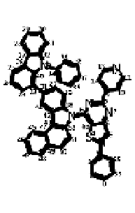 c1ccc(-c2cc3nc(-c4ccncc4)nc(-n4c5ccc(-c6cccc7c8ccccc8n(-c8ccccc8)c67)cc5c5c6ccccc6ccc54)c3s2)cc1